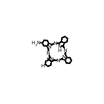 Nc1ccc2c(c1)-c1nc-2nc2[nH]c(nc3nc(nc4[nH]c(n1)c1ccccc41)-c1ccccc1-3)c1ccccc21.[H+]